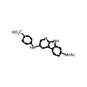 CC(=O)Nc1ccc2c(c1)[nH]c1ncc(Nc3ccc(C(=O)O)cc3)cc12